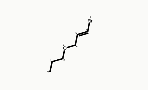 CCCOC/C=C/Br